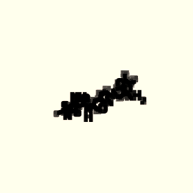 Cc1nc2sc(C(=O)NC3COc4nc(N5CC(N)C6(C5)OC(C)C(C)O6)ccc4C3)c(N)c2s1